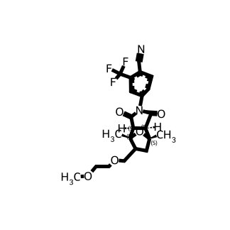 COCCOCC1C[C@]2(C)O[C@@]1(C)[C@H]1C(=O)N(c3ccc(C#N)c(C(F)(F)F)c3)C(=O)[C@H]12